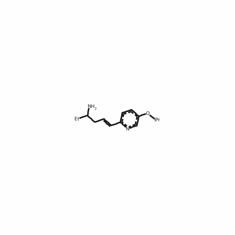 CCC(N)CC=Cc1ccc(OC(C)C)cn1